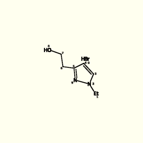 Br.CCn1ccc(CCO)n1